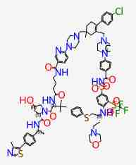 Cc1ncsc1-c1ccc([C@H](C)NC(=O)[C@@H]2C[C@@H](O)CN2C(=O)[C@@H](NC(=O)CCCNC(=O)c2ccc(N3CCN(CC4(C)CCC(c5ccc(Cl)cc5)=C(CN5CCN(c6ccc(C(=O)NS(=O)(=O)c7ccc(N[C@H](CCN8CCOCC8)CSc8ccccc8)c(S(=O)(=O)C(F)(F)F)c7)cc6)CC5)C4)CC3)nc2)C(C)(C)C)cc1